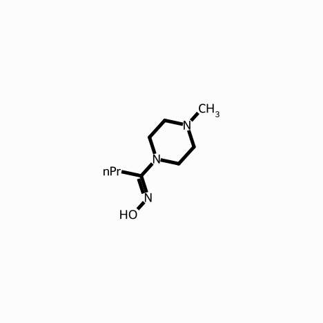 CCCC(=NO)N1CCN(C)CC1